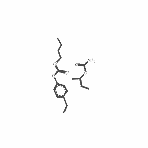 CCC(C)OC(N)=O.CCCCOC(=O)Oc1ccc(CC)cc1